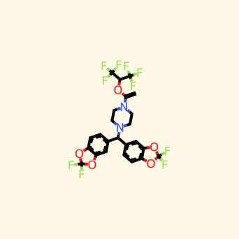 C=C(OC(C(F)(F)F)C(F)(F)F)N1CCN(C(c2ccc3c(c2)OC(F)(F)O3)c2ccc3c(c2)OC(F)(F)O3)CC1